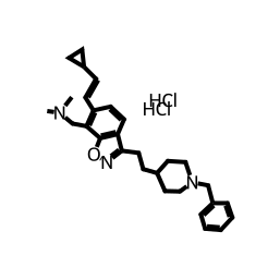 CN(C)Cc1c(/C=C/C2CC2)ccc2c(CCC3CCN(Cc4ccccc4)CC3)noc12.Cl.Cl